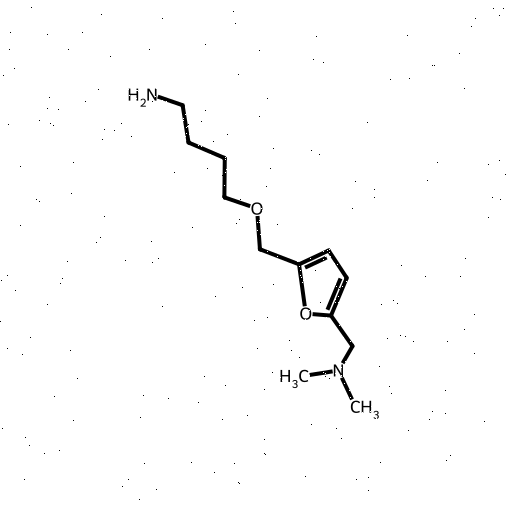 CN(C)Cc1ccc(COCCCCN)o1